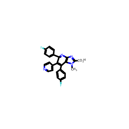 Cn1c(C(=O)O)nc2nc(-c3ccc(F)cc3)c(-c3ccncc3)c(-c3ccc(F)cc3)c21